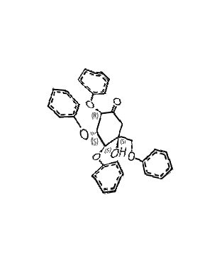 O=C1C[C@](O)(COc2ccccc2)[C@@H](Oc2ccccc2)[C@H](Oc2ccccc2)[C@H]1Oc1ccccc1